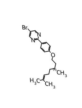 CC(C)=CCC[C@@H](C)CCOc1ccc(-c2ncc(Br)cn2)cc1